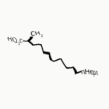 C=C(CCCCCCCC=CCCCCCCC)C(=O)O